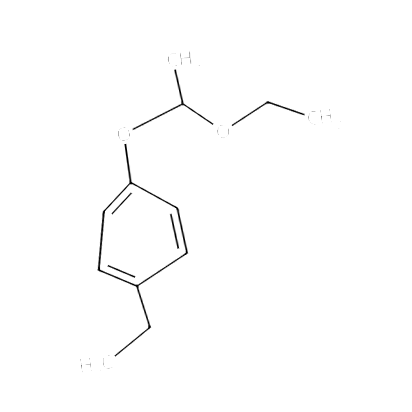 CCOC(C)Oc1ccc(CC)cc1